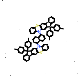 Cc1ccc(C2(c3ccc(C)cc3)c3ccccc3-c3cc4c(cc32)N(c2cccc3c(N5c6ccccc6Sc6cc7c(cc65)C(c5ccc(C)cc5)(c5ccc(C)cc5)c5ccccc5-7)cccc23)c2ccccc2S4)cc1